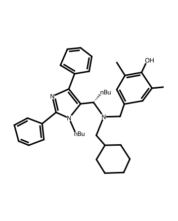 CCCC[C@@H](c1c(-c2ccccc2)nc(-c2ccccc2)n1CCCC)N(Cc1cc(C)c(O)c(C)c1)CC1CCCCC1